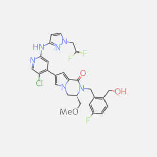 COC[C@H]1Cn2cc(-c3cc(Nc4ccn(CC(F)F)n4)ncc3Cl)cc2C(=O)N1Cc1cc(F)ccc1CO